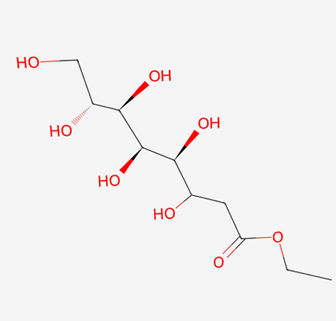 CCOC(=O)CC(O)[C@H](O)[C@@H](O)[C@H](O)[C@H](O)CO